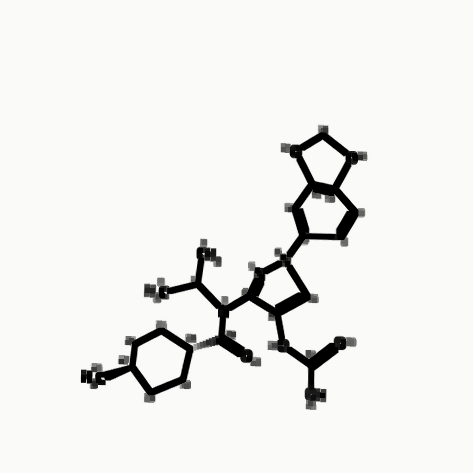 CC(C)N(c1nn(-c2ccc3c(c2)OCO3)cc1OC(=O)O)C(=O)[C@H]1CC[C@H](C)CC1